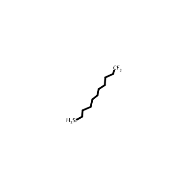 FC(F)(F)CCCCCCCCC[SiH3]